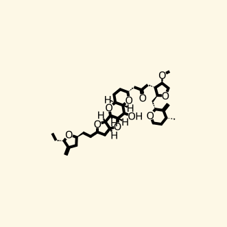 C=C1C[C@H](CCC2C[C@H]3O[C@H]4C(O)[C@H]5O[C@@H](CC(=O)C[C@@H]6[C@@H](OC)CO[C@H]6C[C@H]6OCC[C@@H](C)C6=C)CC[C@@H]5O[C@H]4[C@H]3O2)O[C@H]1CC